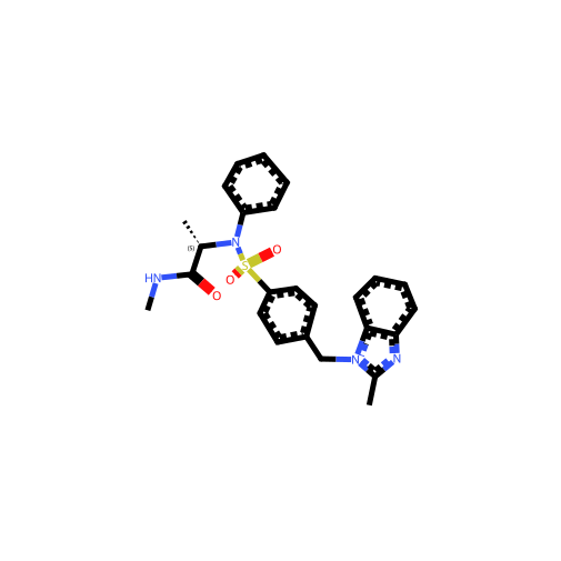 CNC(=O)[C@H](C)N(c1ccccc1)S(=O)(=O)c1ccc(Cn2c(C)nc3ccccc32)cc1